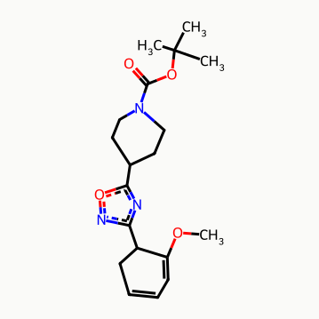 COC1=CC=CCC1c1noc(C2CCN(C(=O)OC(C)(C)C)CC2)n1